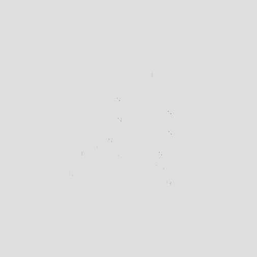 O=S(=O)(c1c(F)c(Br)cc(F)c1Br)N1CCN(c2nc(-c3cc(F)cc(Cl)c3)cs2)CC1.O=S(=O)(c1c(F)c(Br)cc(F)c1Br)N1CCN(c2nc(-c3ccc(F)c(Cl)c3)cs2)CC1